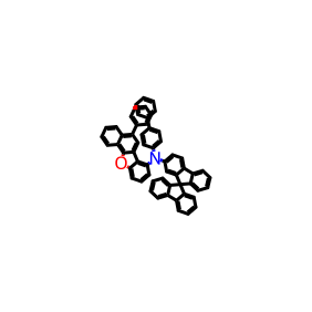 c1ccc(-c2ccc(N(c3ccc4c(c3)C3(c5ccccc5-c5ccccc53)c3ccccc3-4)c3cccc4oc5c6ccccc6c(-c6ccccc6)cc5c34)cc2)cc1